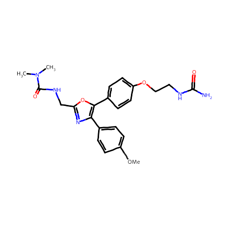 COc1ccc(-c2nc(CNC(=O)N(C)C)oc2-c2ccc(OCCNC(N)=O)cc2)cc1